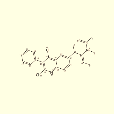 C=C(C)N(C)/C(=C\C)C(C)c1ccc2nc(Cl)c(-c3ccccc3)c(Cl)c2c1